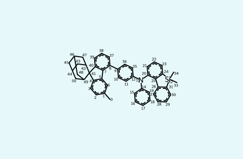 Cc1ccc2c(c1)-c1c(-c3ccc(N(c4ccccc4)c4cccc5c4-c4ccccc4[Si]5(C)C)cc3)cccc1C21C2CC3CC(C2)CC1C3